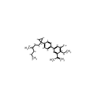 C=C(C)c1cc(-c2ccc(C3(CCC(C)CCC)CC3)cc2)cc(F)c1CC